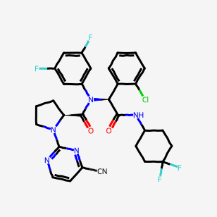 N#Cc1ccnc(N2CCC[C@H]2C(=O)N(c2cc(F)cc(F)c2)[C@H](C(=O)NC2CCC(F)(F)CC2)c2ccccc2Cl)n1